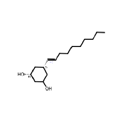 CCCCCCCC/C=C/[C@@H]1CC(O)C[C@H](O)C1